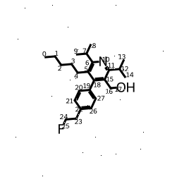 CCCCCc1c(C(C)C)nc(C(C)C)c(CO)c1-c1ccc(CCF)cc1